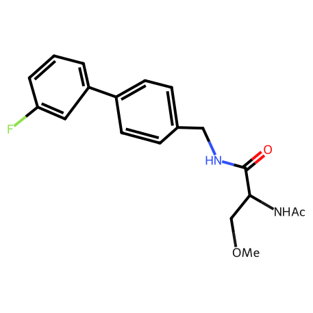 COCC(NC(C)=O)C(=O)NCc1ccc(-c2cccc(F)c2)cc1